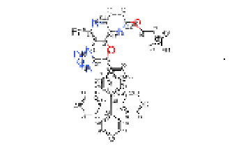 CCc1cc(OC(c2ccc(-c3ccccc3C(c3ccccc3)(c3ccccc3)c3ccccc3)cc2)c2nn[nH]n2)c2nc(OCC[Si](C)(C)C)ccc2n1